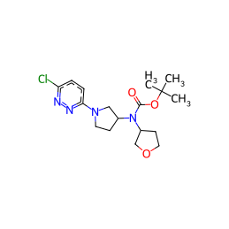 CC(C)(C)OC(=O)N(C1CCOC1)C1CCN(c2ccc(Cl)nn2)C1